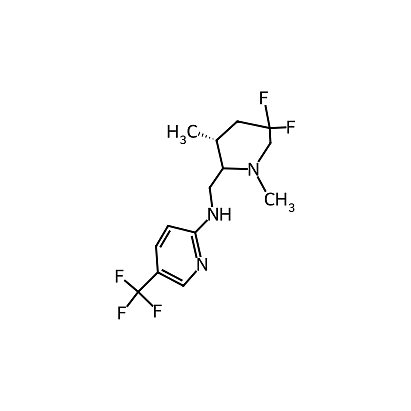 C[C@@H]1CC(F)(F)CN(C)C1CNc1ccc(C(F)(F)F)cn1